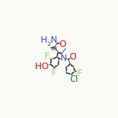 Cc1c([C@@H](C)C(N)=O)c2c(F)c(O)c(F)cc2n1C(=O)c1ccc(Cl)c(F)c1